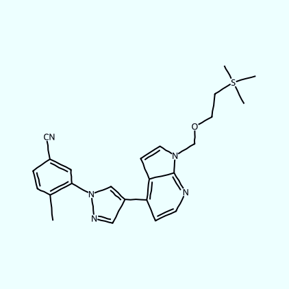 Cc1ccc(C#N)cc1-n1cc(-c2ccnc3c2ccn3COCCS(C)(C)C)cn1